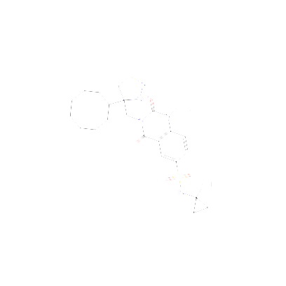 Cn1c(=O)n(CC2(C3CCCCCCC3)CSNN2)c(=O)c2cc(S(=O)(=O)NC3(C)CC3)ccc21